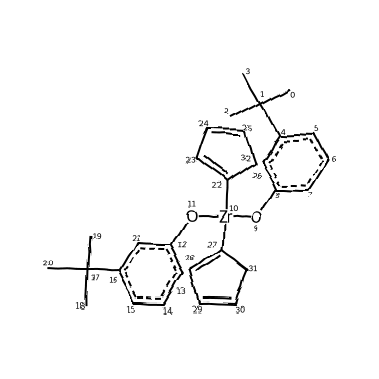 CC(C)(C)c1cccc([O][Zr]([O]c2cccc(C(C)(C)C)c2)([C]2=CC=CC2)[C]2=CC=CC2)c1